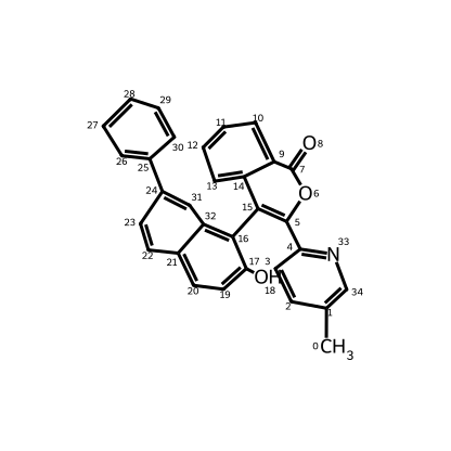 Cc1ccc(-c2oc(=O)c3ccccc3c2-c2c(O)ccc3ccc(-c4ccccc4)cc23)nc1